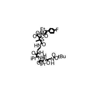 CCC(C(=O)Nc1sc(C(=O)NCCNC(=O)[C@@H](NC(=O)[C@@H](NC(=O)CNC(=O)OC(C)(C)C)C(C)C)C(C)C)c(C)c1C(=O)OC)c1ccc(F)cc1